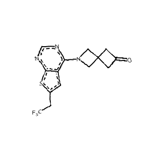 O=C1CC2(C1)CN(c1ncnc3sc(CC(F)(F)F)cc13)C2